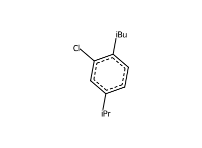 CCC(C)c1ccc(C(C)C)cc1Cl